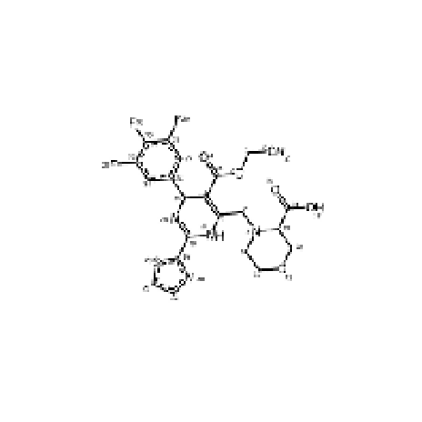 CCOC(=O)C1=C(CN2CCOCC2C(=O)O)NC(c2nccs2)=NC1c1cc(F)c(F)c(F)c1